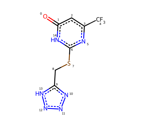 O=c1cc(C(F)(F)F)nc(SCc2nnn[nH]2)[nH]1